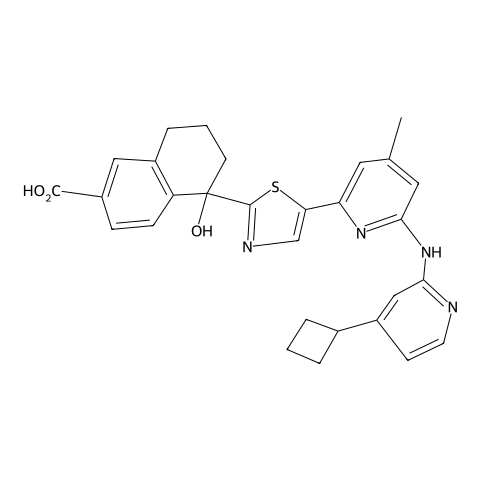 Cc1cc(Nc2cc(C3CCC3)ccn2)nc(-c2cnc(C3(O)CCCc4cc(C(=O)O)ccc43)s2)c1